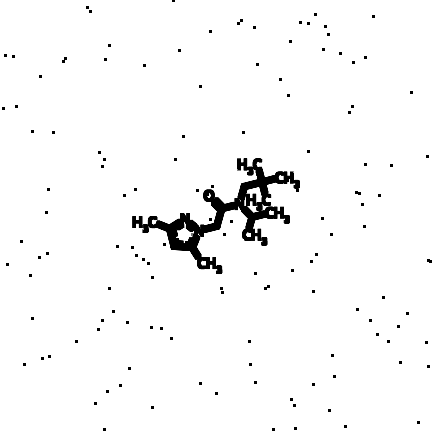 Cc1cc(C)n(CC(=O)N(CC(C)(C)C)C(C)C)n1